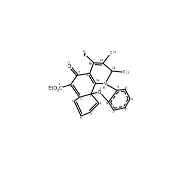 CCOC(=O)C1=C2C=CC=CC23Oc2ccccc2N2C3=C(C1=O)C(F)=C(F)C2F